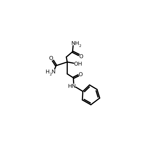 NC(=O)CC(O)(CC(=O)Nc1ccccc1)C(N)=O